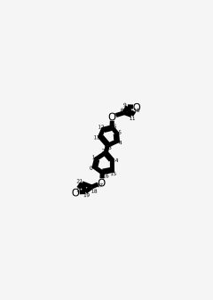 c1cc(-c2ccc(OC3C4OC34)cc2)ccc1OC1C2OC12